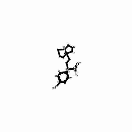 O=[N+]([O-])N(CCC12CCCN1CCC2)c1ccc(F)cc1